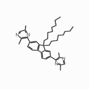 CCCCCCCCC1(CCCCCCCC)c2cc(-c3nc(C)cnc3C)ccc2-c2ccc(-c3nc(C)cnc3C)cc21